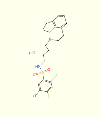 Cl.O=S(=O)(NCCCCN1CCc2cccc3c2C1CC3)c1cc(Cl)c(F)cc1F